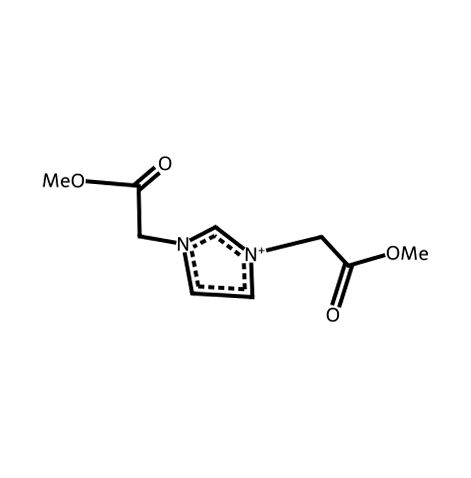 COC(=O)Cn1cc[n+](CC(=O)OC)c1